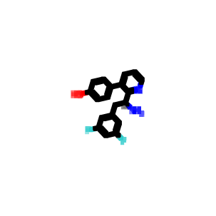 N[C@@H](Cc1cc(F)cc(F)c1)c1ncccc1-c1ccc(O)cc1